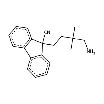 CC(C)(CN)CCC1(C#N)c2ccccc2-c2ccccc21